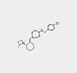 CC1CCN1C1CCCCC1=Cc1ccc(OCc2ccc(Cl)cc2)cc1